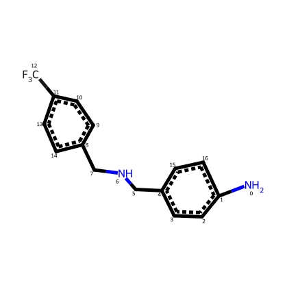 Nc1ccc(CNCc2ccc(C(F)(F)F)cc2)cc1